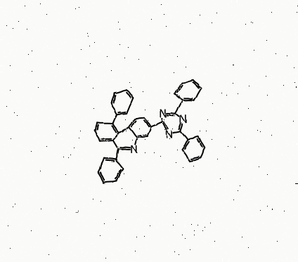 c1ccc(-c2nc(-c3ccccc3)nc(-c3ccc4c(c3)nc(-c3ccccc3)c3cccc(-c5ccccc5)c34)n2)cc1